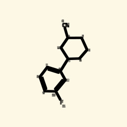 N#CC1CCCC(c2cccc(F)c2)C1